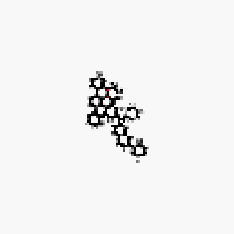 c1ccc(-c2ccc3ccc(N(c4ccccc4)c4cc(-c5ccccc5)c(-c5cccc6c5ccc5ccccc56)c(-c5ccccc5)c4)cc3c2)cc1